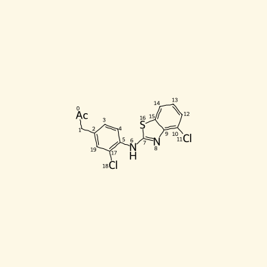 CC(=O)Cc1ccc(Nc2nc3c(Cl)cccc3s2)c(Cl)c1